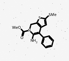 COC(=O)N1Cc2sc(SC)cc2C(c2ccccc2)=C1N